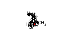 C[C@H]1CN2c3c(cc4c(-n5ccnc5)noc4c3F)CC3(C(=O)NC(=O)NC3=O)[C@@H]2[C@@H](C)O1